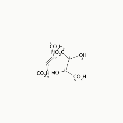 O=C(O)C(O)C(O)C(=O)O.O=C(O)C=CC(=O)O